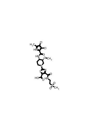 CO[C@H]1CN(c2nc(C(=O)NCCS(C)(=O)=O)c(C(=O)O)s2)CC[C@H]1NC(=O)c1[nH]c(C)c(Cl)c1Cl